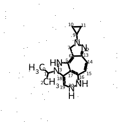 CC(C)N1NC2=C3CN(C4CC4)N=C3C=CC3=C2C1=CNN3